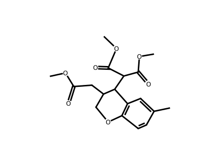 COC(=O)CC1COc2ccc(C)cc2C1C(C(=O)OC)C(=O)OC